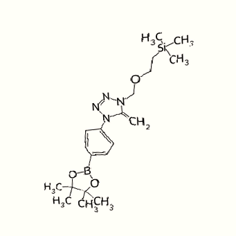 C=C1N(COCC[Si](C)(C)C)N=NN1c1ccc(B2OC(C)(C)C(C)(C)O2)cc1